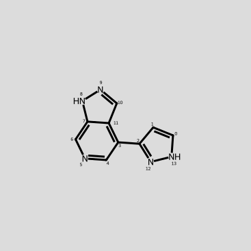 c1cc(-c2cncc3[nH]ncc23)n[nH]1